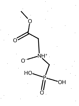 COC(=O)C[NH+]([O-])CP(=O)(O)O